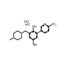 CN1CCN(Cc2cc(C(C)(C)C)cc(-c3ccc(C(F)(F)F)nc3)c2O)CC1.Cl.Cl